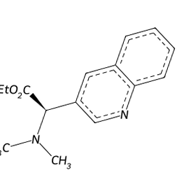 CCOC(=O)[C@@H](c1cnc2ccccc2c1)N(C)C